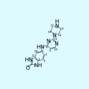 O=c1[nH]c2ccc(Nc3ccnc(N4CCNCC4)n3)cc2[nH]1